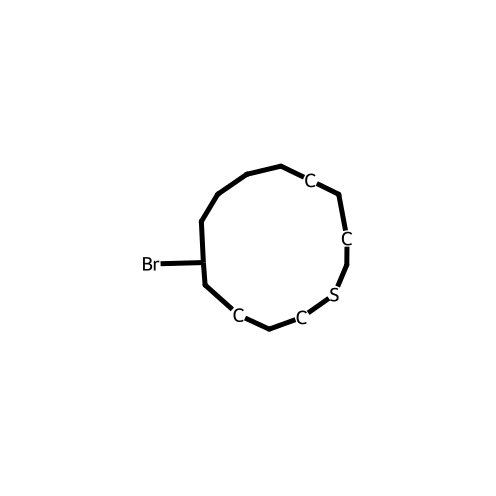 BrC1CCCCCCCCSCCCC1